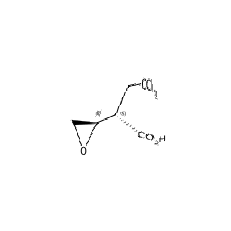 O=C(O)[C@@H](CC(Cl)(Cl)Cl)[C@@H]1CO1